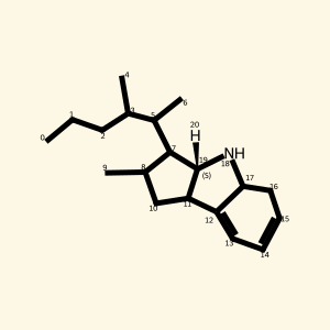 CCCC(C)C(C)C1C(C)CC2C3=CC=CCC3N[C@H]21